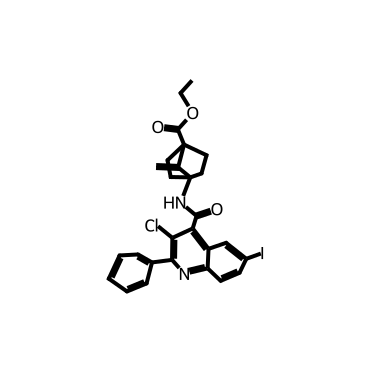 C=C1C2(NC(=O)c3c(Cl)c(-c4ccccc4)nc4ccc(I)cc34)CCC1(C(=O)OCC)CC2